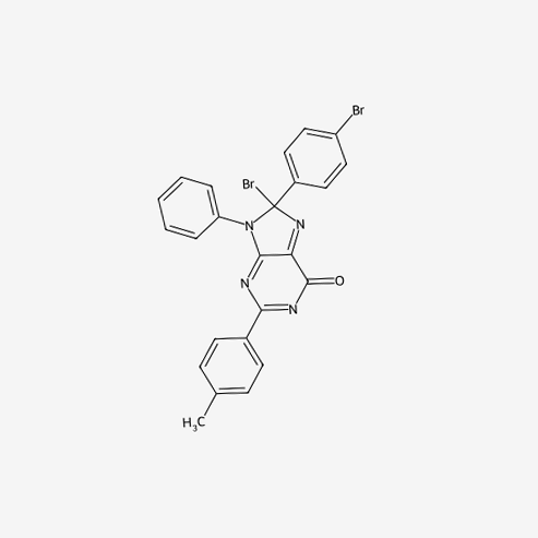 Cc1ccc(C2=NC(=O)C3=NC(Br)(c4ccc(Br)cc4)N(c4ccccc4)C3=N2)cc1